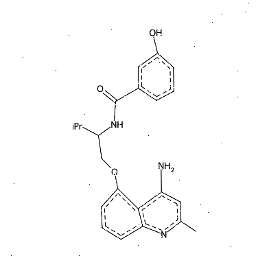 Cc1cc(N)c2c(OCC(NC(=O)c3cccc(O)c3)C(C)C)cccc2n1